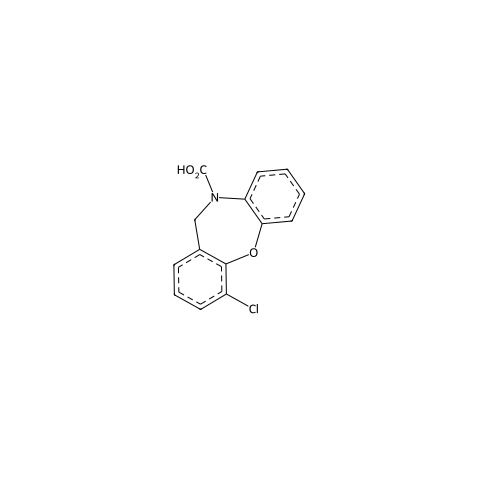 O=C(O)N1Cc2cccc(Cl)c2Oc2ccccc21